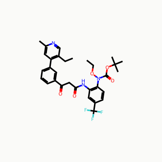 CCON(C(=O)OC(C)(C)C)c1ccc(C(F)(F)F)cc1NC(=O)CC(=O)c1cccc(-c2cc(C)ncc2CC)c1